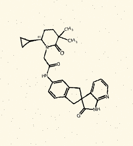 CC1(C)CC[C@H](C2CC2)N(CC(=O)Nc2ccc3c(c2)CC2(C3)C(=O)Nc3ncccc32)C1=O